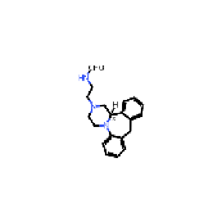 O=CNCCN1CCN2c3ccccc3Cc3ccccc3[C@H]2C1